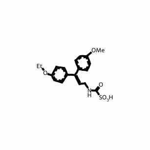 CCOc1ccc(C(=CCNC(=O)S(=O)(=O)O)c2ccc(OC)cc2)cc1